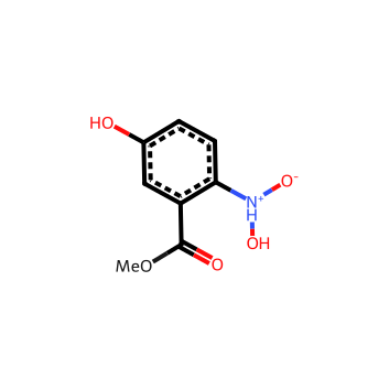 COC(=O)c1cc(O)ccc1[NH+]([O-])O